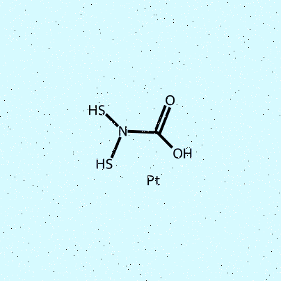 O=C(O)N(S)S.[Pt]